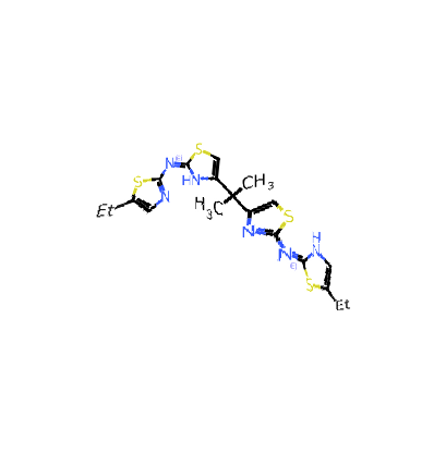 CCc1cnc(/N=c2\[nH]c(C(C)(C)c3csc(/N=c4\[nH]cc(CC)s4)n3)cs2)s1